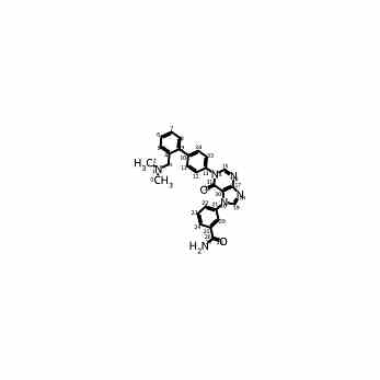 CN(C)Cc1ccccc1-c1ccc(-n2cnc3ncn(-c4cccc(C(N)=O)c4)c3c2=O)cc1